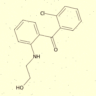 O=C(c1ccccc1Cl)c1ccccc1NCCO